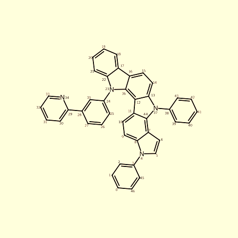 c1ccc(-n2ccc3c2ccc2c4c(ccc5c6ccccc6n(-c6cccc(-c7ccccn7)c6)c54)n(-c4ccccc4)c23)cc1